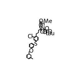 COCOCC(C=O)(CCCc1ccc(Sc2cccc(OCC3C=CC=C(C)C3)c2)cc1Cl)NC(=O)OC(C)(C)C